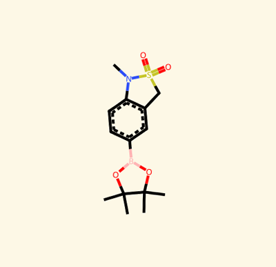 CN1c2ccc(B3OC(C)(C)C(C)(C)O3)cc2CS1(=O)=O